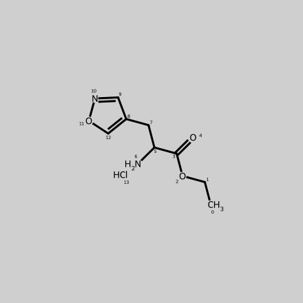 CCOC(=O)C(N)Cc1cnoc1.Cl